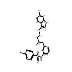 Cc1ccc(S(=O)(=O)Nc2cccc(CN(C)CCCc3noc4cc(F)ccc34)c2)cc1